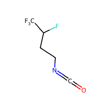 O=C=NCCC(F)C(F)(F)F